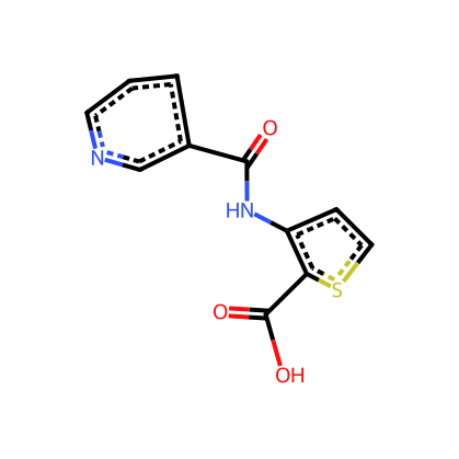 O=C(Nc1ccsc1C(=O)O)c1cccnc1